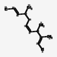 C/C(=C\Cl)C(C)/C=C\CC(C)/C=C/Cl